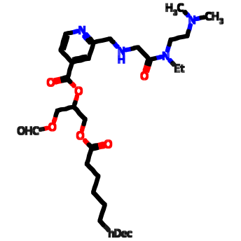 CCCCCCCCCCCCCCCC(=O)OCC(COC=O)OC(=O)c1ccnc(CNCC(=O)N(CC)CCN(C)C)c1